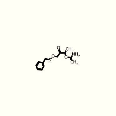 C=C(N)OC(C)C(=O)COSCc1ccccc1